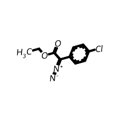 CCOC(=O)C(=[N+]=[N-])c1ccc(Cl)cc1